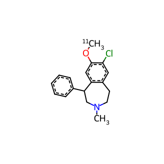 CN1CCc2cc(Cl)c(O[11CH3])cc2C(c2ccccc2)C1